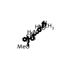 COCCCn1c(C2CCCN(C(=O)C[C@H](N)Cc3ccc(NC(=O)c4ccnn4C)cc3)C2)c(C)c2ccccc21